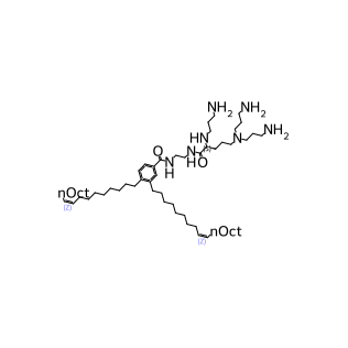 CCCCCCCC/C=C\CCCCCCCCc1ccc(C(=O)NCCNC(=O)[C@H](CCCN(CCCN)CCCN)NCCCN)cc1CCCCCCCC/C=C\CCCCCCCC